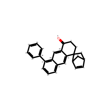 O=C1CCC2(CC3C=CC2C3)c2cc3cccc(-c4ccccc4)c3cc21